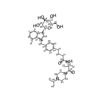 Cc1cccc2c([C@@H]3O[C@H](CO)[C@@H](O)[C@H](O)[C@H]3O)cn(Cc3ccc(CCCC(=O)NC(C)(C)C(=O)N4CCN(C(C)C)CC4)cc3)c12